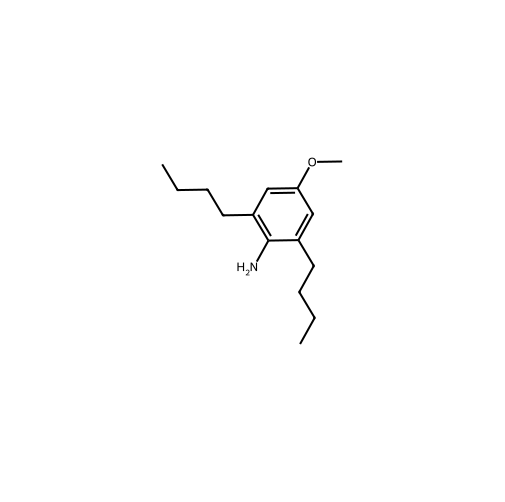 CCCCc1cc(OC)cc(CCCC)c1N